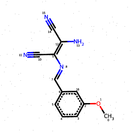 COc1cccc(C=NC(C#N)=C(N)C#N)c1